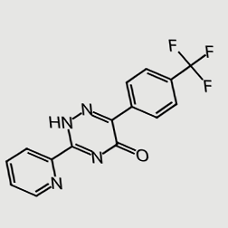 O=c1nc(-c2ccccn2)[nH]nc1-c1ccc(C(F)(F)F)cc1